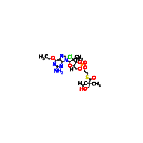 CCOc1nc(N)nc2c1ncn2[C@@H]1O[C@@H]2CO[P@@](=O)(OCCSC(=O)C(C)(C)CO)O[C@H]2[C@@]1(C)Cl